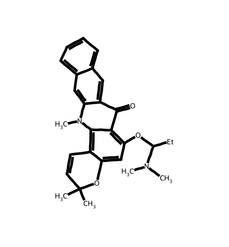 CCC(Oc1cc2c(c3c1c(=O)c1cc4ccccc4cc1n3C)C=CC(C)(C)O2)N(C)C